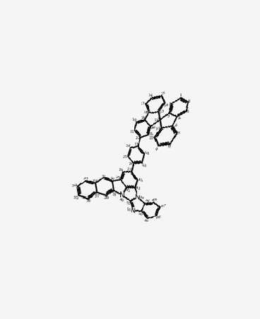 c1ccc2c(c1)-c1ccccc1C21c2ccccc2-c2ccc(-c3ccc(-c4cc5c6cc7ccccc7cc6n6c5c(c4)n4c5ccccc5nc46)cc3)cc21